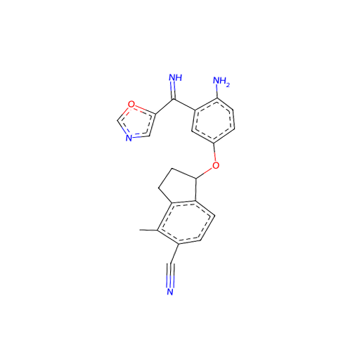 Cc1c(C#N)ccc2c1CCC2Oc1ccc(N)c(C(=N)c2cnco2)c1